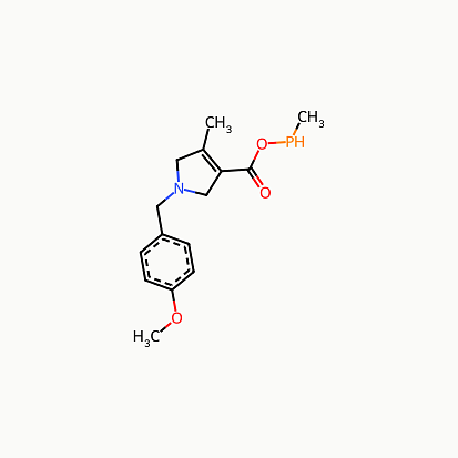 COc1ccc(CN2CC(C)=C(C(=O)OPC)C2)cc1